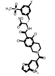 C=c1cco/c1=C/C(=C\C)C(=O)N1CCc2c(cc(Cl)c(C(=O)N[C@@H](Cc3cc(F)cc(S(C)(=O)=O)c3)C(=O)N=O)c2Cl)C1